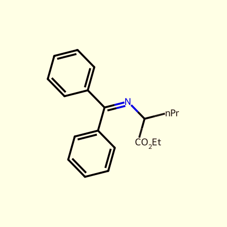 CCCC(N=C(c1ccccc1)c1ccccc1)C(=O)OCC